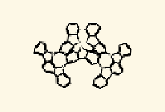 c1ccc2c(c1)sc1ccc(-n3c4ccccc4c4ccc5c6ccccc6n(-c6ccc7oc8ccc(-n9c%10ccccc%10c%10ccc%11c%12ccccc%12n(-c%12ccc%13sc%14ccccc%14c%13c%12)c%11c%109)cc8c7c6)c5c43)cc12